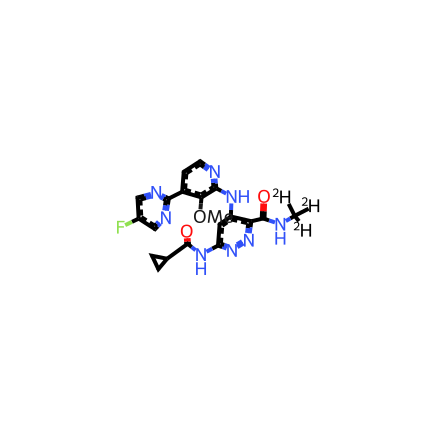 [2H]C([2H])([2H])NC(=O)c1nnc(NC(=O)C2CC2)cc1Nc1nccc(-c2ncc(F)cn2)c1OC